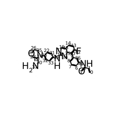 C=CC(=O)Nc1cccc(-c2c(F)ccc3cnc(Nc4ccc(N5CCOC[C@@H]5CN)cc4)nc23)c1